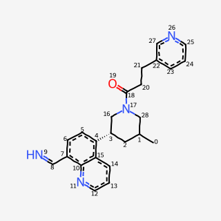 CC1C[C@H](c2ccc(C=N)c3ncccc23)CN(C(=O)CCc2cccnc2)C1